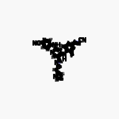 Cc1cc(/C=C/C#N)cc(C)c1Nc1nc(Nc2ccc(C#N)cc2)ncc1/C=N/OCc1cscn1